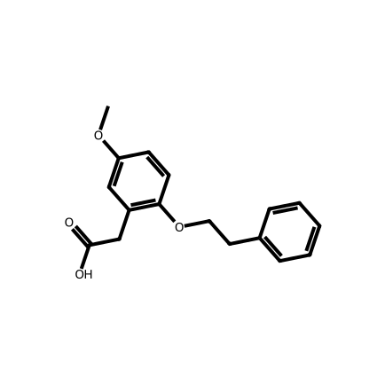 COc1ccc(OCCc2ccccc2)c(CC(=O)O)c1